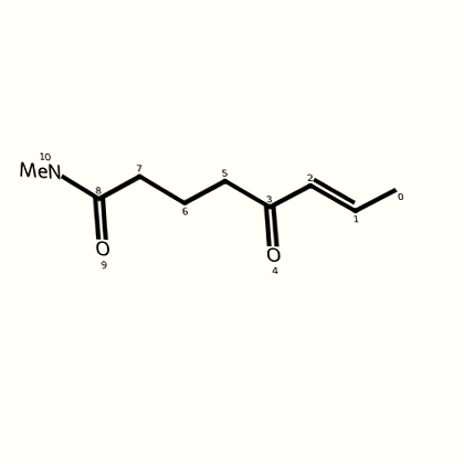 C/C=C/C(=O)CCCC(=O)NC